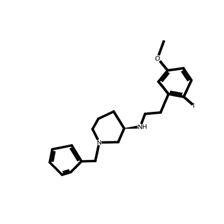 COc1ccc(I)c(CCN[C@@H]2CCCN(Cc3ccccc3)C2)c1